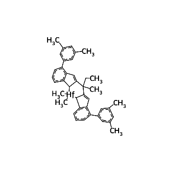 CCC1(C)C2=Cc3c(-c4cc(C)cc(C)c4)cccc3[CH]2[Hf]([CH3])([CH3])[CH]2C1=Cc1c(-c3cc(C)cc(C)c3)cccc12